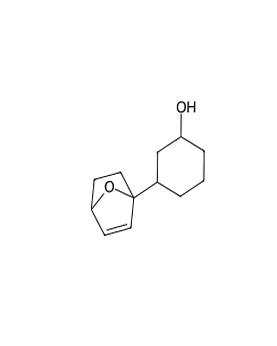 OC1CCCC(C23C=CC(CC2)O3)C1